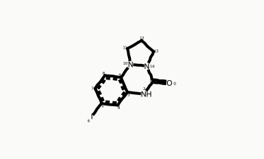 O=C1Nc2cc(I)ccc2N2CCCN12